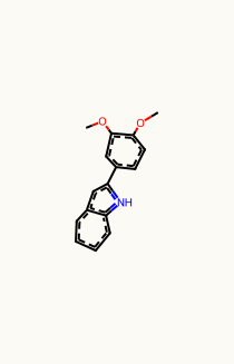 COc1ccc(-c2cc3ccccc3[nH]2)cc1OC